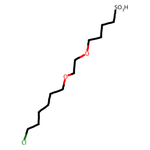 O=S(=O)(O)CCCCOCCOCCCCCCCl